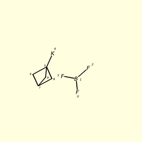 FB(F)F.[K][C]12CC(C1)C2